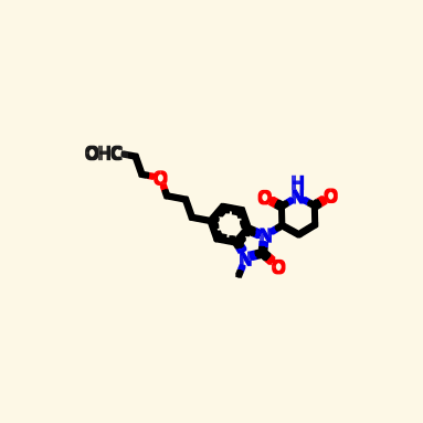 Cn1c(=O)n(C2CCC(=O)NC2=O)c2ccc(CCCOCCC=O)cc21